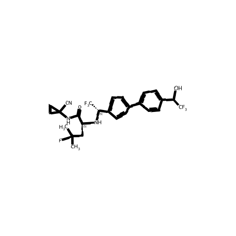 CC(C)(F)C[C@H](N[C@@H](c1ccc(-c2ccc(C(O)C(F)(F)F)cc2)cc1)C(F)(F)F)C(=O)NC1(C#N)CC1